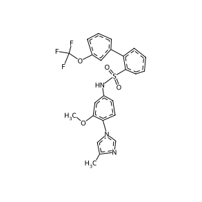 COc1cc(NS(=O)(=O)c2ccccc2-c2cccc(OC(F)(F)F)c2)ccc1-n1cnc(C)c1